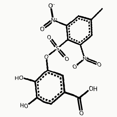 Cc1cc([N+](=O)[O-])c(S(=O)(=O)Oc2cc(C(=O)O)cc(O)c2O)c([N+](=O)[O-])c1